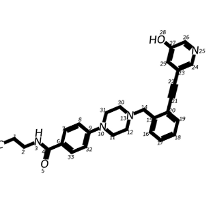 CCCNC(=O)c1ccc(N2CCN(Cc3ccccc3C#Cc3cncc(O)c3)CC2)cc1